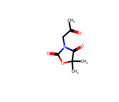 CC(=O)CN1C(=O)OC(C)(C)C1=O